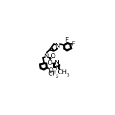 Cn1cnc(OC(=O)N(Cc2cccc(OC(F)(F)F)c2)CC2C3CN(Cc4cccc(F)c4F)CC32)c1